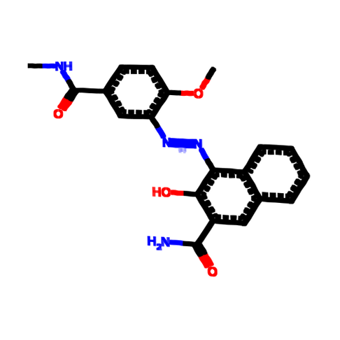 CNC(=O)c1ccc(OC)c(/N=N/c2c(O)c(C(N)=O)cc3ccccc23)c1